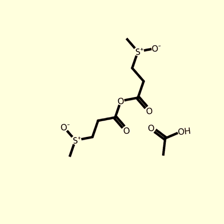 CC(=O)O.C[S+]([O-])CCC(=O)OC(=O)CC[S+](C)[O-]